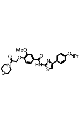 COc1cc(C(=O)Nc2nc(-c3ccc(OC(C)C)cc3)cs2)ccc1OCC(=O)N1CCOCC1